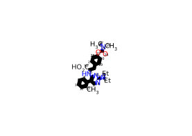 CCN(CC)c1ncc(-c2ccccc2C)c(N[C@@H](Cc2ccc(OC(=O)N(C)C)cc2)C(=O)O)n1